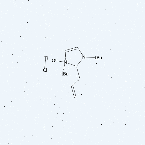 C=CCC1N(C(C)(C)C)C=C[N+]1([O-])C(C)(C)C.[Cl][Ti]